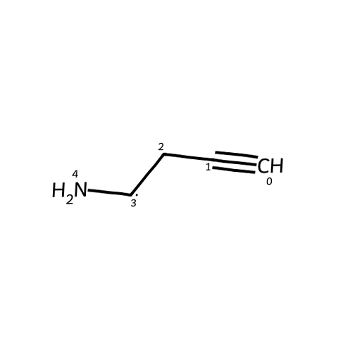 C#CC[CH]N